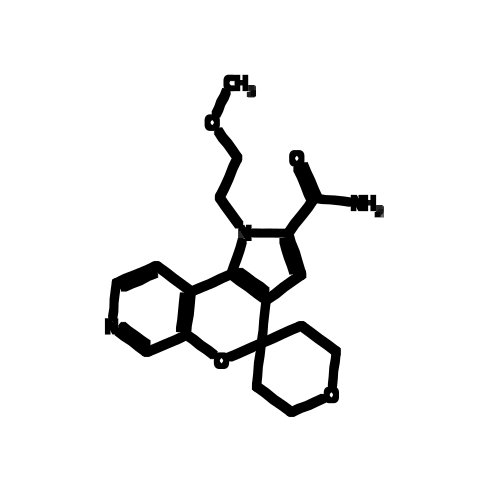 COCCn1c(C(N)=O)cc2c1-c1ccncc1OC21CCOCC1